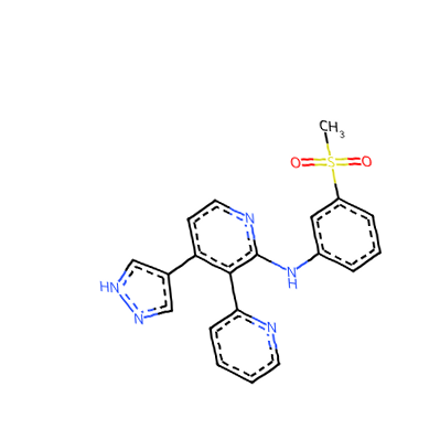 CS(=O)(=O)c1cccc(Nc2nccc(-c3cn[nH]c3)c2-c2ccccn2)c1